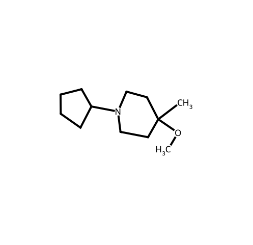 COC1(C)CCN(C2CCCC2)CC1